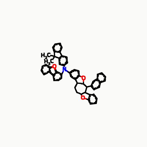 CC1(C)c2ccccc2-c2ccc(N(c3ccc4c(c3)C3CCC5Oc6ccccc6C5C(c5ccc6ccccc6c5)C3O4)c3cccc4c3oc3ccccc34)cc21